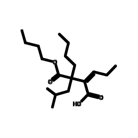 CCC=C(C(=O)O)C(CCCC)(CC(C)C)C(=O)OCCCC